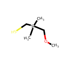 COC[Si](C)(C)CS